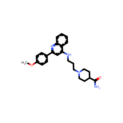 COc1ccc(-c2cc(NCCCN3CCC(C(N)=O)CC3)c3ccccc3n2)cc1